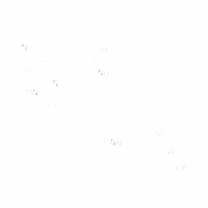 C[C@@H](COCCCCNCc1ccc(OC(F)(F)F)c(Cl)c1)Nc1nc2cc(C(N)=O)ccc2c2cnccc12